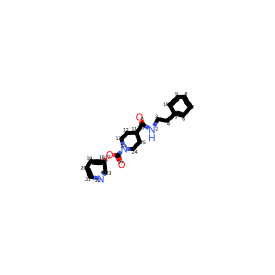 O=C(NCCc1ccccc1)C1CCN(C(=O)Oc2cccnc2)CC1